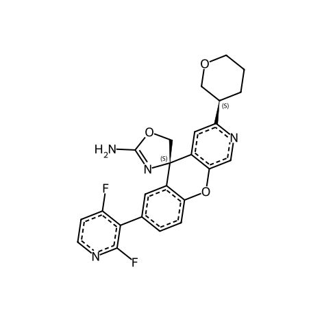 NC1=N[C@@]2(CO1)c1cc(-c3c(F)ccnc3F)ccc1Oc1cnc([C@@H]3CCCOC3)cc12